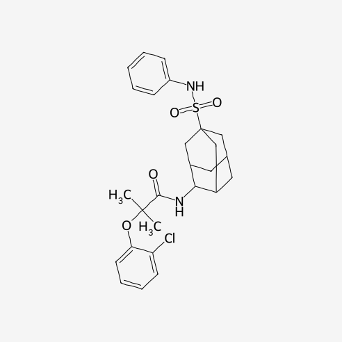 CC(C)(Oc1ccccc1Cl)C(=O)NC1C2CC3CC1CC(S(=O)(=O)Nc1ccccc1)(C3)C2